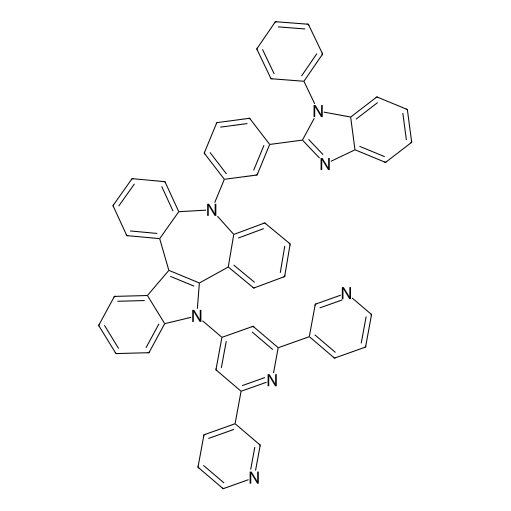 c1ccc(-n2c(-c3cccc(N4c5ccccc5-c5c(n(-c6cc(-c7cccnc7)nc(-c7cccnc7)c6)c6ccccc56)-c5ccccc54)c3)nc3ccccc32)cc1